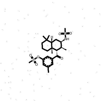 Cc1cc(OS(C)(=O)=O)cc(C(=O)[C@H]2[C@H](C)[C@H](NS(C)(=O)=O)C[C@H]3C(C)(C)CCC[C@@]23C)c1